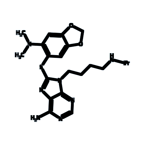 CC(C)NCCCCn1c(Sc2cc3c(cc2N(C)C)OCO3)nc2c(N)ncnc21